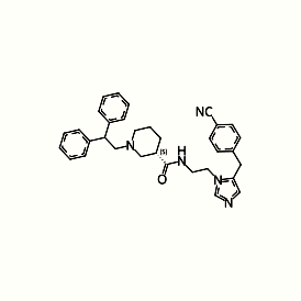 N#Cc1ccc(Cc2cncn2CCNC(=O)[C@H]2CCCN(CC(c3ccccc3)c3ccccc3)C2)cc1